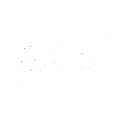 CCCc1ccnc(C2CCN(C(=O)c3c(C)oc4ncnc(NC5(C)CC5)c34)CC2)n1